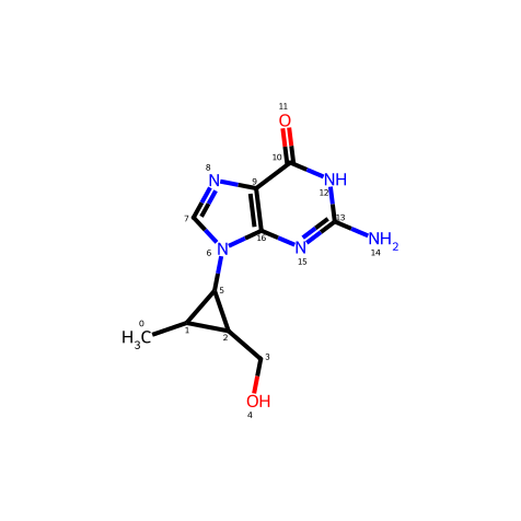 CC1C(CO)C1n1cnc2c(=O)[nH]c(N)nc21